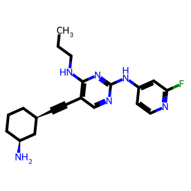 CCCNc1nc(Nc2ccnc(F)c2)ncc1C#C[C@@H]1CCC[C@H](N)C1